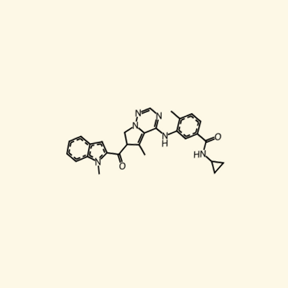 CC1=C2C(Nc3cc(C(=O)NC4CC4)ccc3C)=NC=NN2CC1C(=O)c1cc2ccccc2n1C